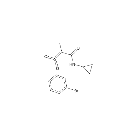 Brc1ccccc1.CC(C(=O)NC1CC1)=S(=O)=O